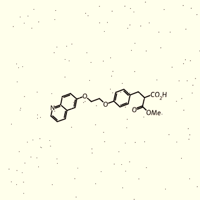 COC(=O)C(Cc1ccc(OCCOc2ccc3ncccc3c2)cc1)C(=O)O